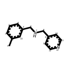 Cc1cccc(CNCc2ccncc2)c1